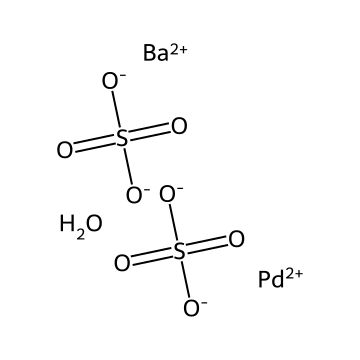 O.O=S(=O)([O-])[O-].O=S(=O)([O-])[O-].[Ba+2].[Pd+2]